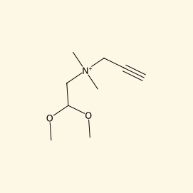 C#CC[N+](C)(C)CC(OC)OC